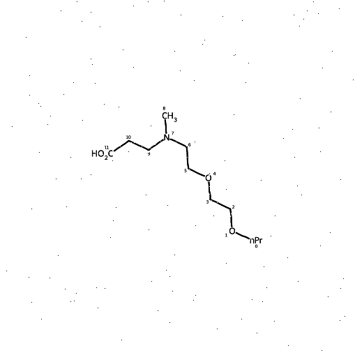 CCCOCCOCCN(C)CCC(=O)O